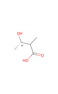 CC(C(=O)O)[C@H](C)O